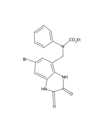 CCOC(=O)N(Cc1cc(Br)cc2[nH]c(=O)c(=O)[nH]c12)c1ccccc1